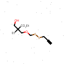 C#CCSSCOCC(CC)(CO)C(=O)OCC